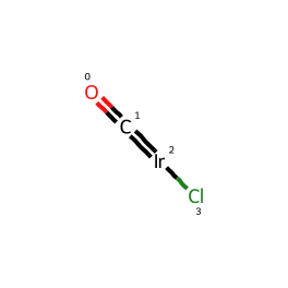 O=[C]=[Ir][Cl]